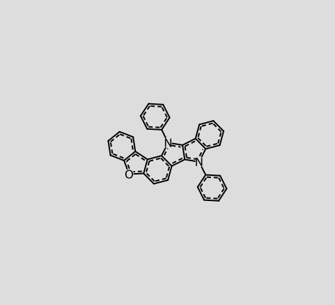 c1ccc(-n2c3ccccc3c3c2c2ccc4oc5ccccc5c4c2n3-c2ccccc2)cc1